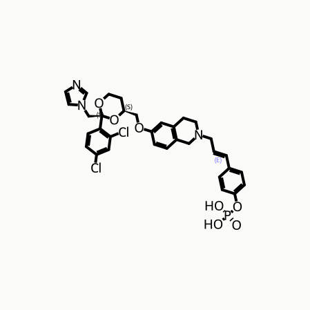 O=P(O)(O)Oc1ccc(/C=C/CN2CCc3cc(OC[C@@H]4CCO[C@@](Cn5ccnc5)(c5ccc(Cl)cc5Cl)O4)ccc3C2)cc1